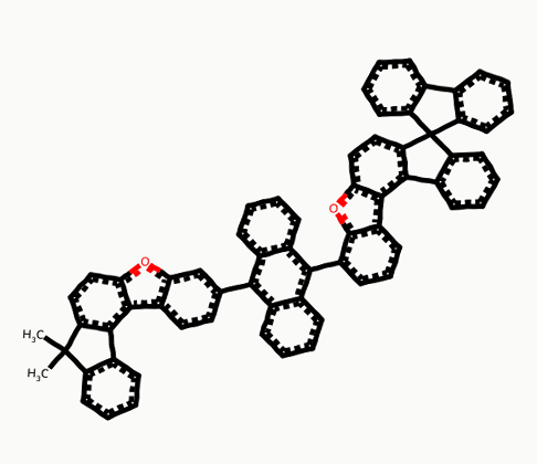 CC1(C)c2ccccc2-c2c1ccc1oc3cc(-c4c5ccccc5c(-c5cccc6c5oc5ccc7c(c56)-c5ccccc5C75c6ccccc6-c6ccccc65)c5ccccc45)ccc3c21